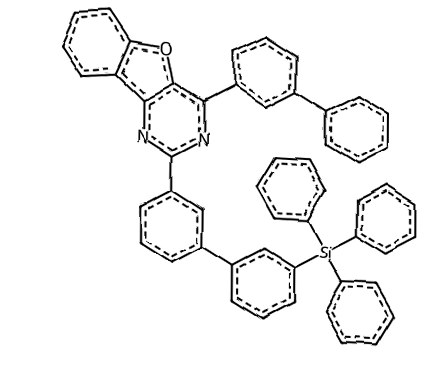 c1ccc(-c2cccc(-c3nc(-c4cccc(-c5cccc([Si](c6ccccc6)(c6ccccc6)c6ccccc6)c5)c4)nc4c3oc3ccccc34)c2)cc1